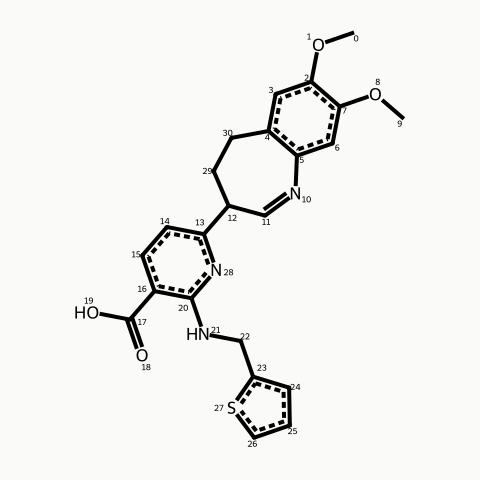 COc1cc2c(cc1OC)N=CC(c1ccc(C(=O)O)c(NCc3cccs3)n1)CC2